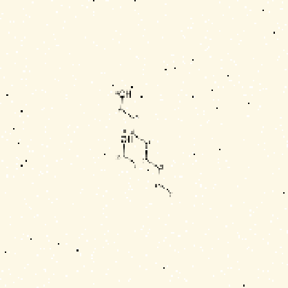 CCCCCCCCO.CCO